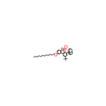 CCCCCCCCCCCCOc1ccc(Br)c(-c2cc(C(C)(C)C)cc(C34CC5CC(CC(C5)C3)C4)c2OCOC)c1